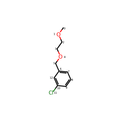 COCCOCc1cccc(Cl)c1